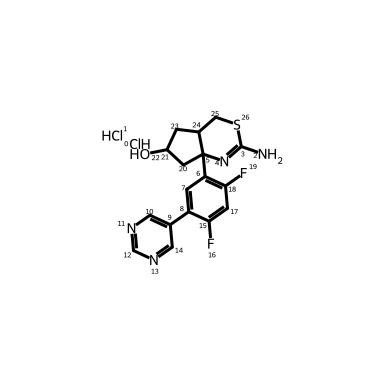 Cl.Cl.NC1=NC2(c3cc(-c4cncnc4)c(F)cc3F)CC(O)CC2CS1